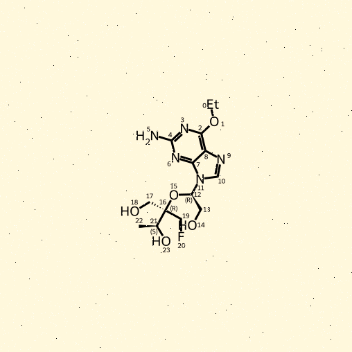 CCOc1nc(N)nc2c1ncn2[C@@H](CO)O[C@@](CO)(CF)[C@H](C)O